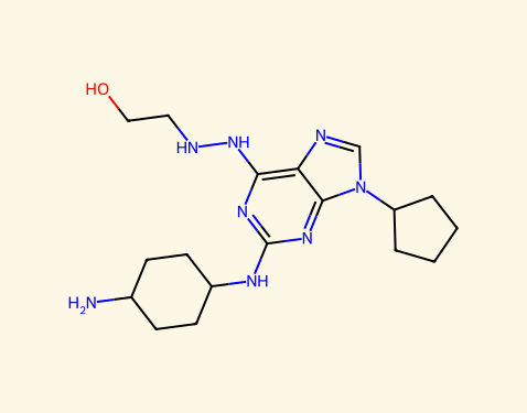 NC1CCC(Nc2nc(NNCCO)c3ncn(C4CCCC4)c3n2)CC1